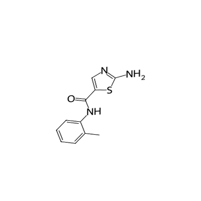 Cc1ccccc1NC(=O)c1cnc(N)s1